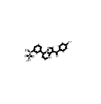 CCN(c1cccc(-c2ccnc3c(C(=O)c4ccc(F)cc4)cnn23)c1)S(=O)(=O)CC